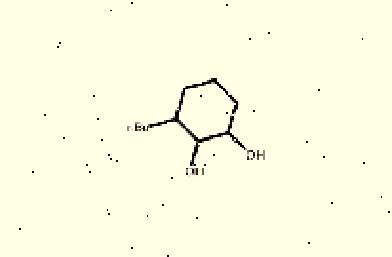 CCCCC1CCCC(O)C1O